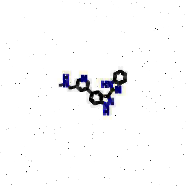 CNCc1cncc(-c2ccc3[nH]nc(-c4nc5ccccc5[nH]4)c3c2)c1